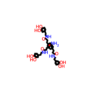 NC12CC3(CCC(=O)NCCc4ccc(O)c(O)c4)CC(CCC(=O)NCCc4ccc(O)c(O)c4)(C1)CC(CCC(=O)NCCc1ccc(O)c(O)c1)(C2)C3